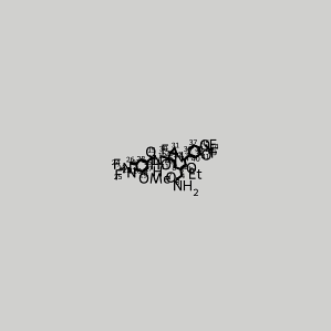 CCOc1c(CC(N)=O)cc([C@@](O)(CNC(=O)c2cc(OC)c3nn(C(F)F)cc3c2)C2(F)CC2)nc1-c1ccc2c(c1)OC(F)(F)O2